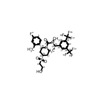 Cc1cc(F)ccc1[C@H]1C[C@@H](S(=O)(=O)CCO)CCN1C(=O)N(C)[C@@H](C)c1cc(C(F)(F)F)cc(C(F)(F)F)c1